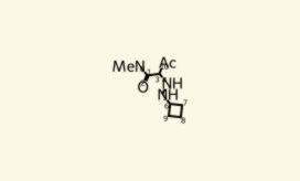 CNC(=O)C(NNC1CCC1)C(C)=O